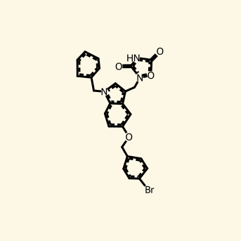 O=c1[nH]c(=O)n(Cc2cn(Cc3ccccc3)c3ccc(OCc4ccc(Br)cc4)cc23)o1